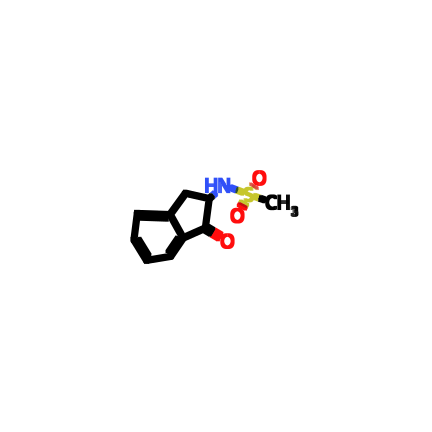 CS(=O)(=O)NC1Cc2ccccc2C1=O